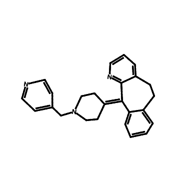 c1ccc2c(c1)CCc1cccnc1C2=C1CCN(Cc2ccncc2)CC1